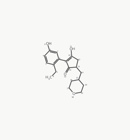 CCc1ccc(O)cc1C1=C(O)CC(CC2CCOCC2)C1=O